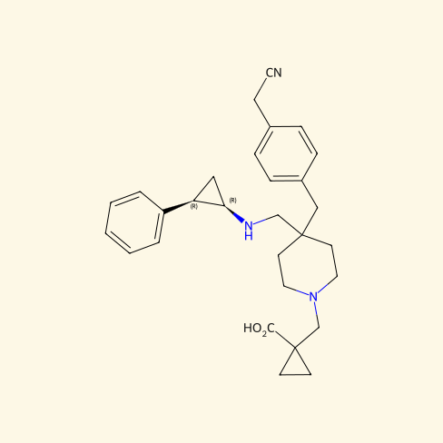 N#CCc1ccc(CC2(CN[C@@H]3C[C@@H]3c3ccccc3)CCN(CC3(C(=O)O)CC3)CC2)cc1